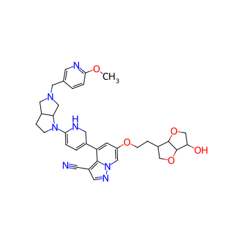 COc1ccc(CN2CC3CCN(C4=CC=C(c5cc(OCCC6COC7C(O)COC67)cn6ncc(C#N)c56)CN4)C3C2)cn1